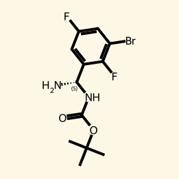 CC(C)(C)OC(=O)N[C@H](N)c1cc(F)cc(Br)c1F